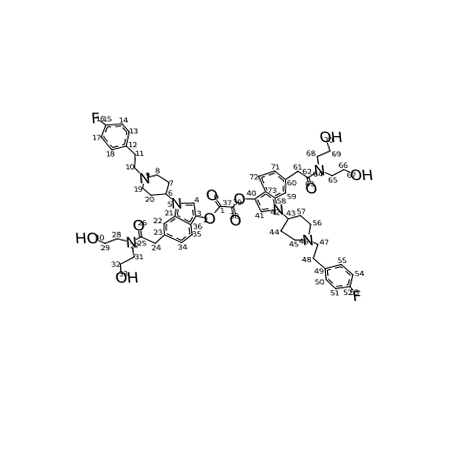 O=C(Oc1cn(C2CCN(CCc3ccc(F)cc3)CC2)c2cc(CC(=O)N(CCO)CCO)ccc12)C(=O)Oc1cn(C2CCN(CCc3ccc(F)cc3)CC2)c2cc(CC(=O)N(CCO)CCO)ccc12